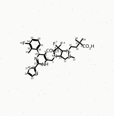 CCOC(=O)C1=C(CN2CC(F)(F)C3C2CN(C)N3CCC(C)(C)C(=O)O)NC(c2nccs2)=N[C@H]1c1cccc(F)c1C